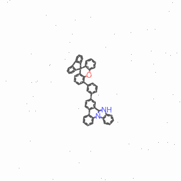 c1cc(-c2ccc3c(c2)C2Nc4ccccc4N2c2ccccc2-3)cc(-c2cccc3c2Oc2ccccc2C32c3ccccc3-c3ccccc32)c1